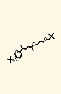 C/C(=C\C=C(/C)c1ccc(NC(C)(C)C)cn1)OCCCOCC(C)(C)C